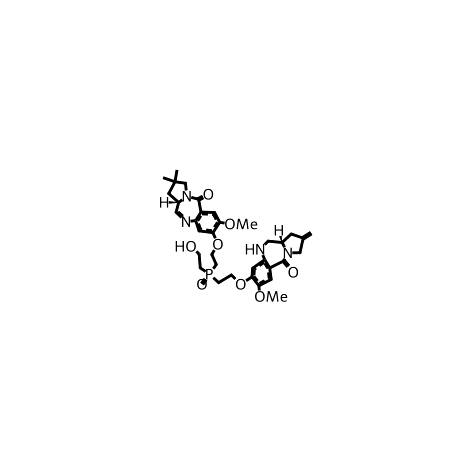 C=C1C[C@H]2CNc3cc(OCCP(=O)(CCO)CCOc4cc5c(cc4OC)C(=O)N4CC(C)(C)C[C@H]4C=N5)c(OC)cc3C(=O)N2C1